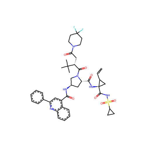 C=CC1C[C@]1(NC(=O)[C@@H]1C[C@@H](NC(=O)c2cc(-c3ccccc3)nc3ccccc23)CN1C(=O)[C@@H](CC(=O)N1CCC(F)(F)CC1)C(C)(C)C)C(=O)NS(=O)(=O)C1CC1